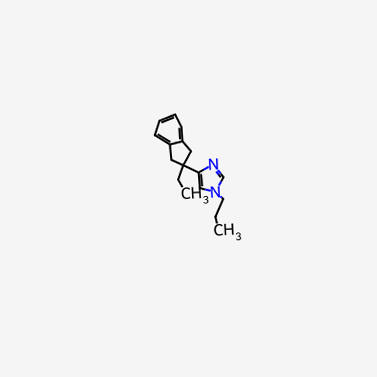 CCCn1cnc(C2(CC)Cc3ccccc3C2)c1